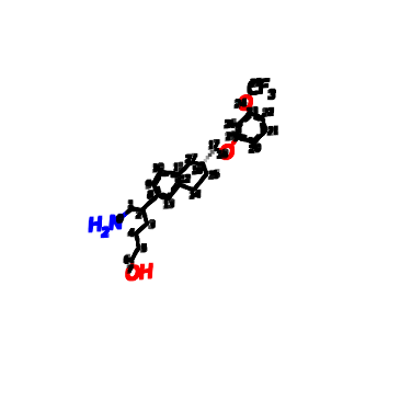 NC[C@H](CCCCO)c1ccc2c(c1)CC[C@@H](COc1cccc(OC(F)(F)F)c1)C2